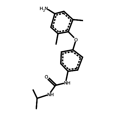 Cc1cc(N)cc(C)c1Oc1ccc(NC(=O)NC(C)C)cc1